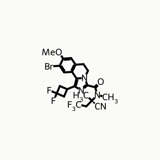 COc1cc2c(cc1Br)-c1c(C3CC(F)(F)C3)nc(C(=O)N(C)[C@](C)(C#N)CC(F)(F)F)n1CC2